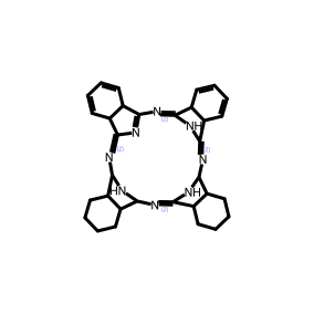 C1=CC2C3=NC(=N\C4NC(/N=C5\NC(/N=C6\N/C(=N\3)C3C=CC=CC63)C3CCCCC53)C3CCCCC43)/C2C=C1